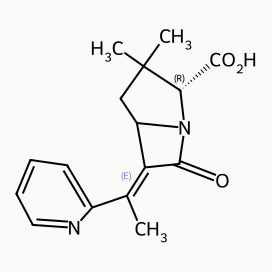 C/C(=C1\C(=O)N2C1CC(C)(C)[C@@H]2C(=O)O)c1ccccn1